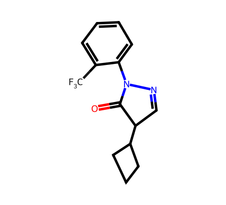 O=C1C(C2CCC2)C=NN1c1ccccc1C(F)(F)F